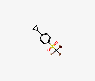 O=S(=O)(c1ccc(C2CC2)cc1)C(Br)(Br)Br